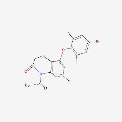 CCC(CC)N1C(=O)CCc2c1cc(C)nc2Oc1c(C)cc(Br)cc1C